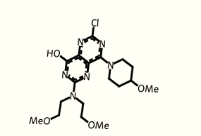 COCCN(CCOC)c1nc(O)c2nc(Cl)nc(N3CCC(OC)CC3)c2n1